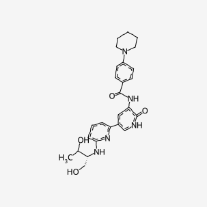 CC(O)[C@@H](CO)Nc1cccc(-c2c[nH]c(=O)c(NC(=O)c3ccc(N4CCCCC4)cc3)c2)n1